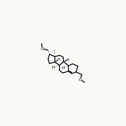 COCC1C=C2CC[C@@H]3[C@H](CC[C@]4(C)[C@@H](COC)CC[C@@H]34)[C@H]2CC1